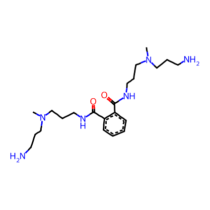 CN(CCCN)CCCNC(=O)c1ccccc1C(=O)NCCCN(C)CCCN